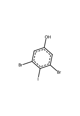 Oc1cc(Br)c(I)c(Br)c1